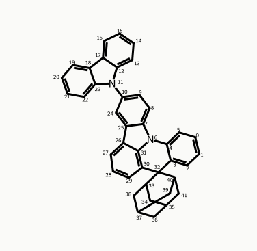 c1ccc2c(c1)-n1c3ccc(-n4c5ccccc5c5ccccc54)cc3c3cccc(c31)C21C2CC3CC(C2)CC1C3